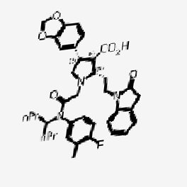 CCCC(CCC)N(C(=O)CN1C[C@H](c2ccc3c(c2)OCO3)[C@@H](C(=O)O)[C@@H]1CCN1C(=O)Cc2ccccc21)c1ccc(F)c(C)c1